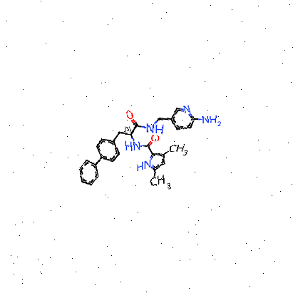 Cc1cc(C)c(C(=O)N[C@@H](Cc2ccc(-c3ccccc3)cc2)C(=O)NCc2ccc(N)nc2)[nH]1